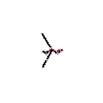 CCCCCCCCCCCCCCOC[C@@](CCCCCCCCOCCCCCCC)(COCC[N+](C)(C)CCC)COCC[N+](C)(C)CC(=O)OCC